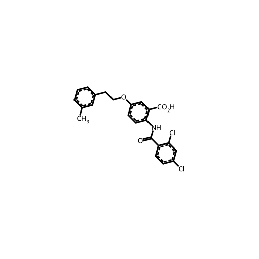 Cc1cccc(CCOc2ccc(NC(=O)c3ccc(Cl)cc3Cl)c(C(=O)O)c2)c1